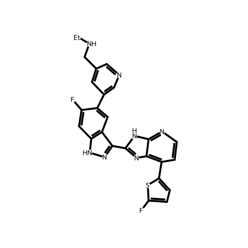 CCNCc1cncc(-c2cc3c(-c4nc5c(-c6ccc(F)s6)ccnc5[nH]4)n[nH]c3cc2F)c1